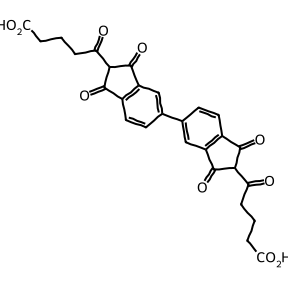 O=C(O)CCCC(=O)C1C(=O)c2ccc(-c3ccc4c(c3)C(=O)C(C(=O)CCCC(=O)O)C4=O)cc2C1=O